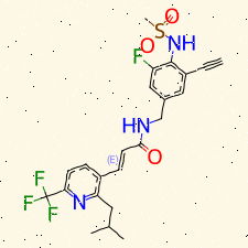 C#Cc1cc(CNC(=O)/C=C/c2ccc(C(F)(F)F)nc2CC(C)C)cc(F)c1NS(C)(=O)=O